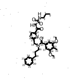 CCCNS(=O)(=O)NC(=O)c1csc(CN(CCCc2ccccc2)C(=O)c2cc(OC)c(C)c(OC)c2)n1